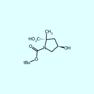 CC(C)(C)OC(=O)N1C[C@H](O)C[C@@]1(C)C(=O)O